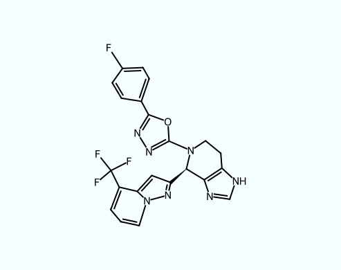 Fc1ccc(-c2nnc(N3CCc4[nH]cnc4[C@H]3c3cc4c(C(F)(F)F)cccn4n3)o2)cc1